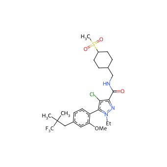 CCn1nc(C(=O)NCC2CCC(S(C)(=O)=O)CC2)c(Cl)c1-c1ccc(CC(C)(C)C(F)(F)F)cc1OC